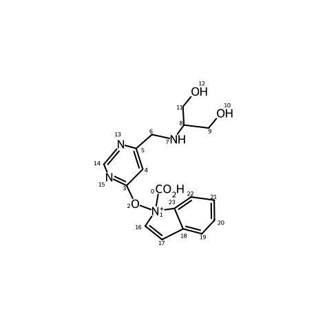 O=C(O)[N+]1(Oc2cc(CNC(CO)CO)ncn2)C=Cc2ccccc21